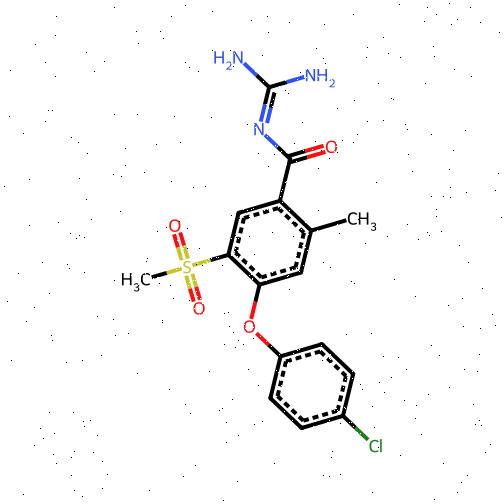 Cc1cc(Oc2ccc(Cl)cc2)c(S(C)(=O)=O)cc1C(=O)N=C(N)N